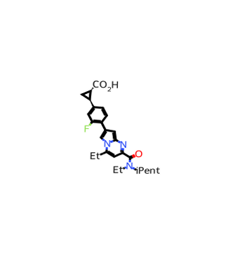 CCCC(C)N(CC)C(=O)c1cc(CC)n2cc(-c3ccc([C@H]4C[C@@H]4C(=O)O)cc3F)cc2n1